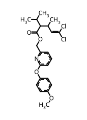 COc1ccc(Oc2cccc(COC(=O)C(C(C)C)C(C)C=C(Cl)Cl)n2)cc1